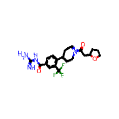 N=C(N)NC(=O)c1ccc(C2CCN(C(=O)CC3CCCO3)CC2)c(C(F)(F)F)c1